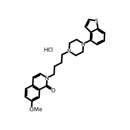 COc1ccc2ccn(CCCCN3CCN(c4cccc5sccc45)CC3)c(=O)c2c1.Cl